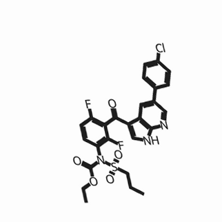 CCCS(=O)(=O)N(C(=O)OCC)c1ccc(F)c(C(=O)c2c[nH]c3ncc(-c4ccc(Cl)cc4)cc23)c1F